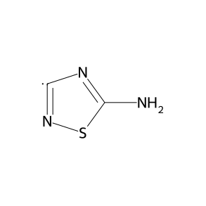 Nc1n[c]ns1